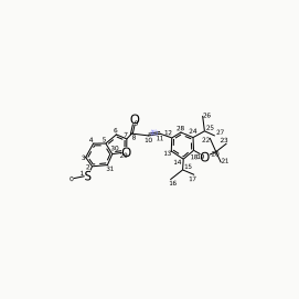 CSc1ccc2cc(C(=O)/C=C/c3cc(C(C)C)c(OC(C)(C)C)c(C(C)C)c3)oc2c1